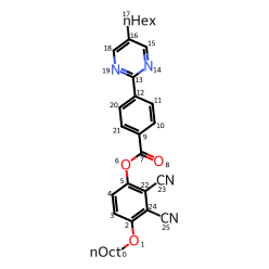 CCCCCCCCOc1ccc(OC(=O)c2ccc(-c3ncc(CCCCCC)cn3)cc2)c(C#N)c1C#N